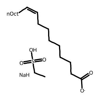 CCCCCCCC/C=C\CCCCCCCC([O])=O.CCS(=O)(=O)O.[NaH]